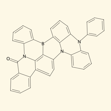 O=c1c2ccccc2c2ccc3c4c2n1-c1ccccc1B4c1cccc2c1N3c1ccccc1N2c1ccccc1